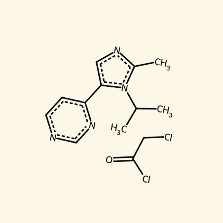 Cc1ncc(-c2ccncn2)n1C(C)C.O=C(Cl)CCl